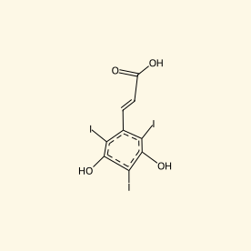 O=C(O)/C=C/c1c(I)c(O)c(I)c(O)c1I